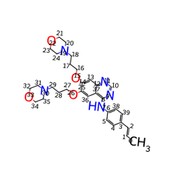 C/C=C/c1ccc(Nc2ncnc3cc(OCCCN4CCOCC4)c(OCCCN4CCOCC4)cc23)cc1